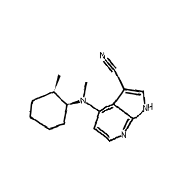 C[C@@H]1CCCC[C@@H]1N(C)c1ccnc2[nH]cc(C#N)c12